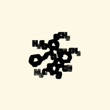 COc1cc(O)c(C(=O)C=Cc2ccccc2)c(OC)c1.Cc1cc(=O)c2c(O)c3c(cc2o1)OCC(C)CC3